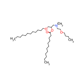 CCCCCCCCCCCCOCC(CN(C)CCOCCCC)OC(=O)CCCCCCCCCCC